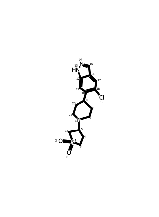 O=S1(=O)CCC(N2CCC(c3cc4[nH]ncc4cc3Cl)CC2)C1